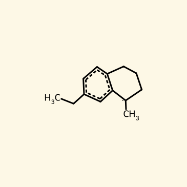 CCc1ccc2c(c1)[C](C)CCC2